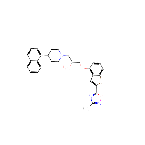 Cc1noc(-c2cc3c(OC[C@@H](O)CN4CCC(c5cccc6ccccc56)CC4)cccc3s2)n1